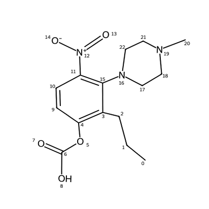 CCCc1c(OC(=O)O)ccc([N+](=O)[O-])c1N1CCN(C)CC1